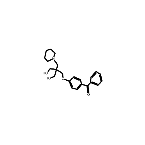 O=C(c1ccccc1)c1ccc(OCC(CO)(CO)CN2CCCCC2)cc1